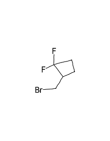 FC1(F)CCC1CBr